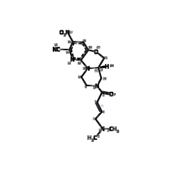 CN(C)C/C=C/C(=O)N1CCN2c3nc(C#N)c([N+](=O)[O-])cc3OC[C@@H]2C1